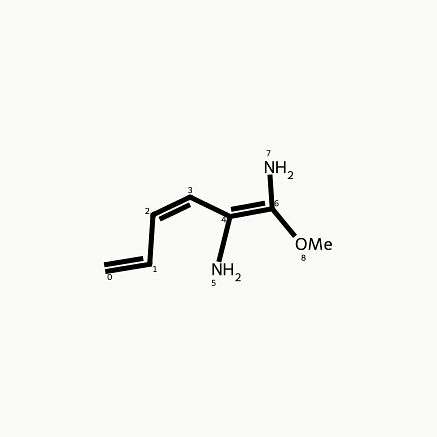 C=C/C=C\C(N)=C(/N)OC